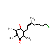 CC(=CCC1=C(C)C(=O)C(C)=C(C)C1=O)CCCCCl